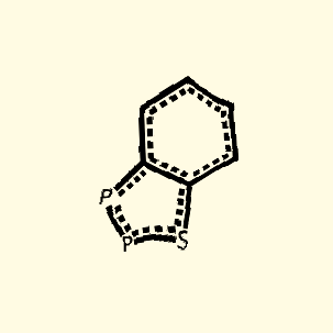 c1ccc2sppc2c1